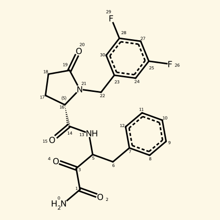 NC(=O)C(=O)C(Cc1ccccc1)NC(=O)[C@@H]1CCC(=O)N1Cc1cc(F)cc(F)c1